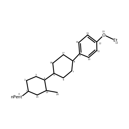 CCCCCC1CCC(C2CCC(c3ccc(OCC)cc3)CC2)C(C)C1